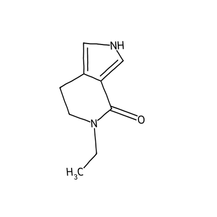 CCN1CCc2c[nH]cc2C1=O